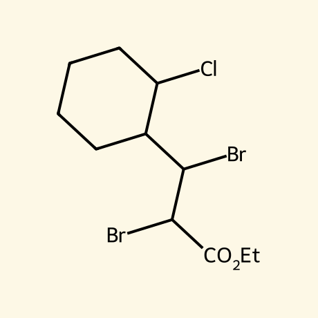 CCOC(=O)C(Br)C(Br)C1CCCCC1Cl